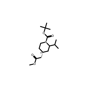 COC(=O)C[C@@H]1CCN(C(=O)OC(C)(C)C)C(C(C)C)C1